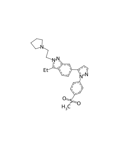 CCc1c2ccc(-c3ccnn3-c3ccc(S(C)(=O)=O)cc3)cc2nn1CCN1CCCC1